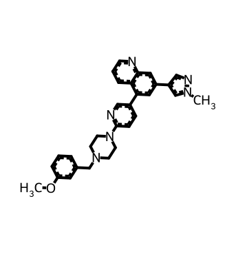 COc1cccc(CN2CCN(c3ccc(-c4cc(-c5cnn(C)c5)cc5ncccc45)cn3)CC2)c1